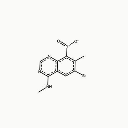 CNc1ncnc2c([N+](=O)[O-])c(C)c(Br)cc12